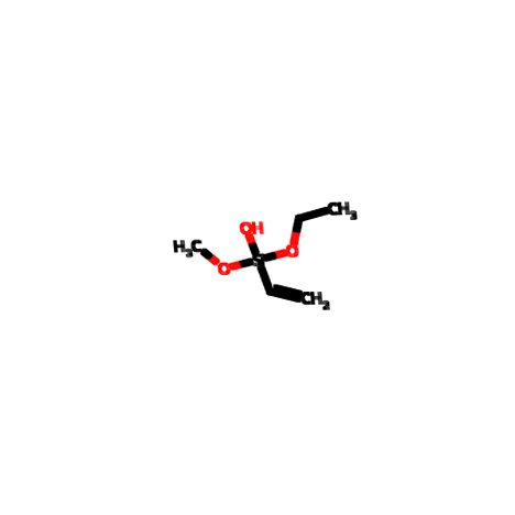 C=C[Si](O)(OC)OCC